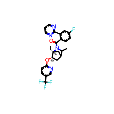 CC1C2C[C@@H](Oc3ccc(C(F)(F)F)cn3)[C@H](C2)N1C(=O)c1ccc(F)cc1-c1ncccn1